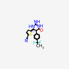 CC(F)(F)c1ccc(C2C(=O)NC(=N)N/C2=C2\CC=C(C#N)S2)cc1